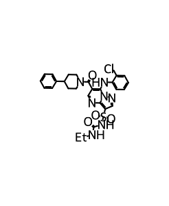 CCNC(=O)NS(=O)(=O)c1cnn2c(Nc3ccccc3Cl)c(C(=O)N3CCC(c4ccccc4)CC3)cnc12